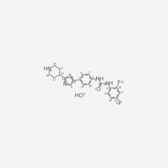 Cl.O=C(Nc1ccc(-c2cnc(C3CCNCC3)s2)cc1)Nc1ccc(F)cc1F